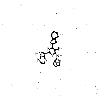 Fc1c(NC2CC3CCC2CC3)nc(-c2c[nH]c3nccnc23)nc1-c1cc2ccccc2s1